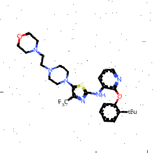 CC(C)(C)c1ccccc1Oc1ncccc1Nc1nc(C(F)(F)F)c(N2CCN(CCN3CCOCC3)CC2)s1